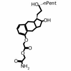 CCCCC[C@@H](O)CC[C@H]1C(O)CC2Cc3c(cccc3OCC(=O)OCC(N)=O)CC21